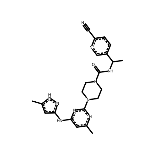 Cc1cc(Nc2cc(C)[nH]n2)nc(N2CCN(C(=O)NC(C)c3ccc(C#N)nc3)CC2)n1